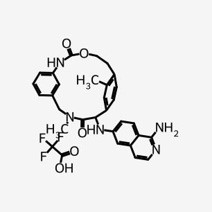 Cc1cc2ccc1CCOC(=O)Nc1cccc(c1)CN(C)C(=O)C2Nc1ccc2c(N)nccc2c1.O=C(O)C(F)(F)F